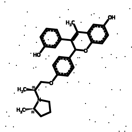 CC1=C(c2cccc(O)c2)C(c2ccc(OC[C@H](C)N3CCC[C@@H]3C)cc2)Oc2ccc(O)cc21